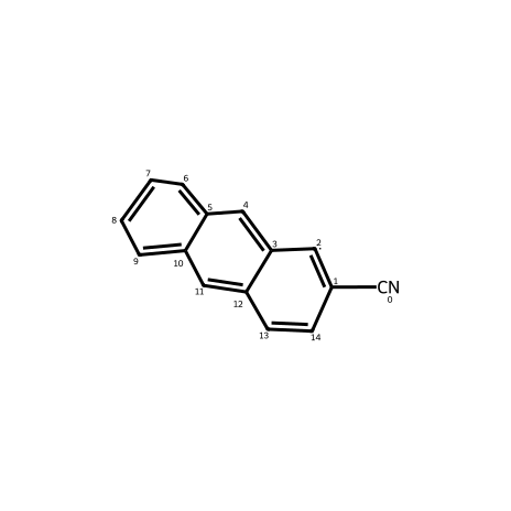 N#Cc1[c]c2cc3ccccc3cc2cc1